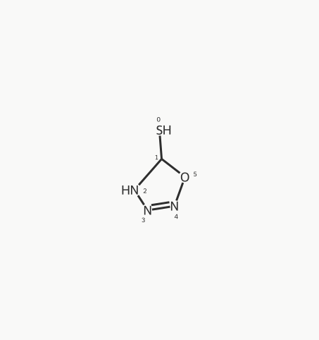 SC1NN=NO1